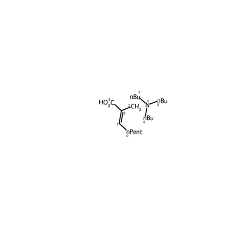 CCCCCC=C(C)C(=O)O.CCCCN(CCCC)CCCC